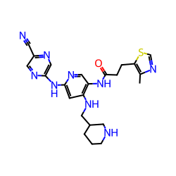 Cc1ncsc1CCC(=O)Nc1cnc(Nc2cnc(C#N)cn2)cc1NCC1CCCNC1